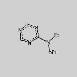 CCCN(CC)c1n[c]ncn1